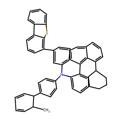 CC1C=CC=CC1c1ccc(N(c2cccc(-c3cccc4c3sc3ccccc34)c2)c2ccccc2-c2cccc3cccc(C4CCCCC4)c23)cc1